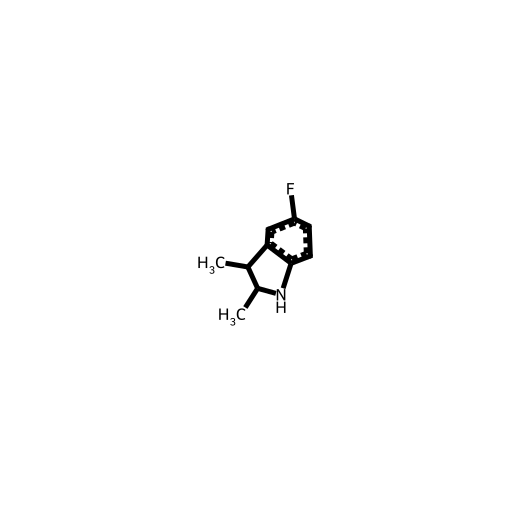 CC1Nc2ccc(F)cc2C1C